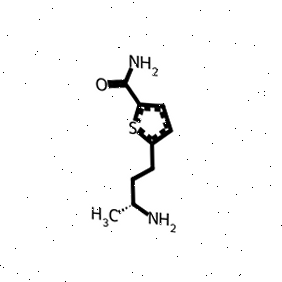 C[C@@H](N)CCc1ccc(C(N)=O)s1